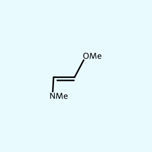 CNC=COC